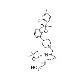 Cc1ccc([C@@]2(C)Oc3cccc(C4CCN(Cc5ncc(/C=C/C(=O)O)n5C[C@@H]5COC(C)(C)C5)CC4)c3O2)c(F)c1